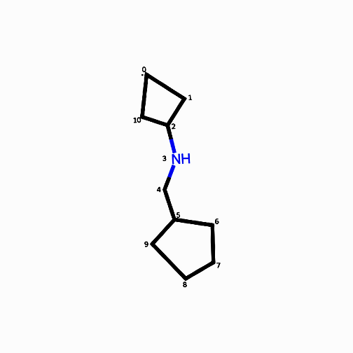 [CH]1CC(NCC2CCCC2)C1